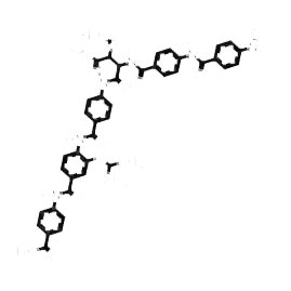 COC(C(=O)O)C(NC(=O)c1ccc(NC(=O)c2ccc([N+](=O)[O-])cc2)cc1)C(=O)Nc1ccc(C(=O)Nc2ccc(C(=O)Nc3ccc(C(=O)O)cc3)cc2OC(C)C)cc1